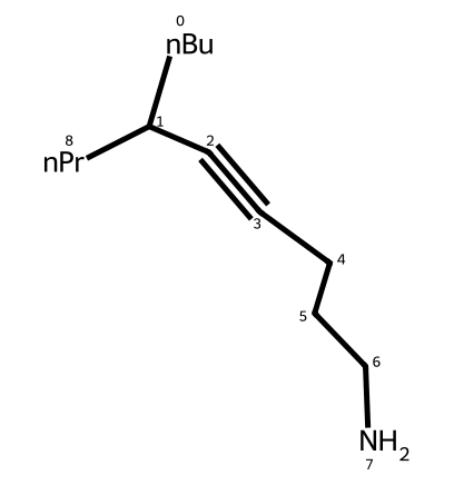 CCCCC(C#CCCCN)CCC